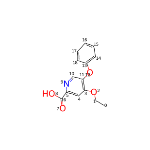 CCOc1cc(C(=O)O)ncc1Oc1ccccc1